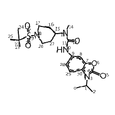 CC(C)n1c(=O)oc2cc(NC(=O)N(C)C3CCN(S(=O)(=O)C(C)(C)C)CC3)ccc21